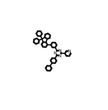 c1ccc(-c2ccc(-c3nc(-c4cccnc4)nc(-c4cccc(-c5cccc6c5-c5ccccc5C6(c5ccccc5)c5ccccc5)c4)n3)cc2)cc1